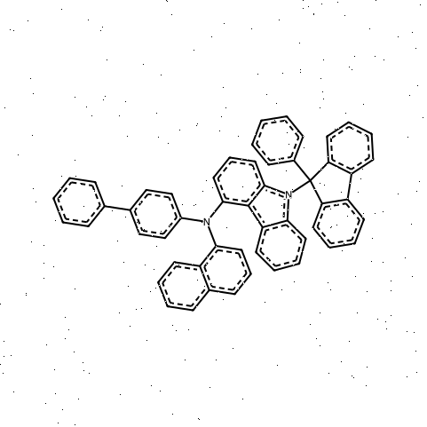 c1ccc(-c2ccc(N(c3cccc4ccccc34)c3cccc4c3c3ccccc3n4C3(c4ccccc4)c4ccccc4-c4ccccc43)cc2)cc1